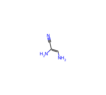 N#C/C(N)=C/N